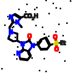 CCS(=O)(=O)c1ccc(-n2c(=O)n(C3CCN(Cc4ncc(C(=O)O)n4C)C3)c3ncccc32)cc1